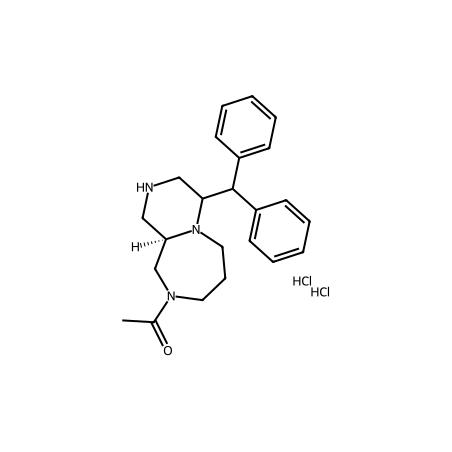 CC(=O)N1CCCN2C(C(c3ccccc3)c3ccccc3)CNC[C@@H]2C1.Cl.Cl